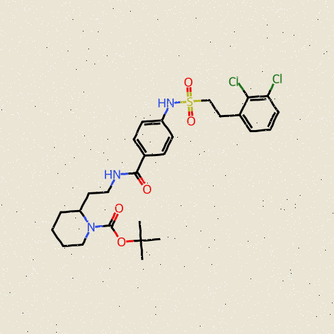 CC(C)(C)OC(=O)N1CCCCC1CCNC(=O)c1ccc(NS(=O)(=O)CCc2cccc(Cl)c2Cl)cc1